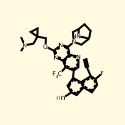 C#Cc1c(F)ccc2cc(O)cc(-c3cnc4c(N5CC6CCC(C5)N6)nc(OCC5(CN(C)C)CC5)nc4c3C(F)(F)F)c12